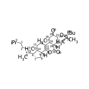 CC(C)CCC[C@@H](C)[C@H]1CC[C@H]2C3=C(CC[C@]12C)[C@@]1(C)CC(=O)[C@H](O[Si](C)(C)C(C)(C)C)C[C@@H]1C(=O)O3